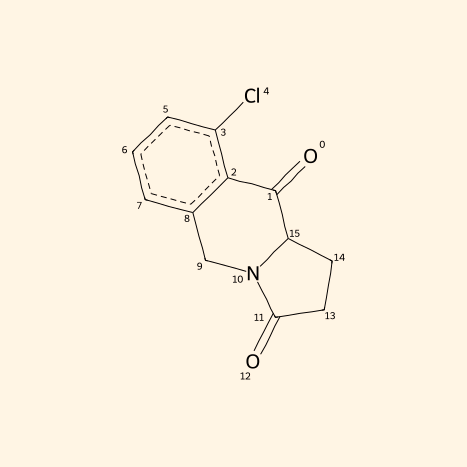 O=C1c2c(Cl)cccc2CN2C(=O)CCC12